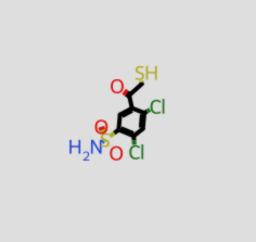 NS(=O)(=O)c1cc(C(=O)CS)c(Cl)cc1Cl